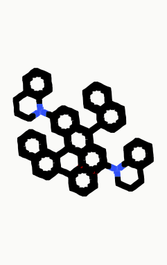 c1ccc(-c2ccc3ccccc3c2-c2c3ccc(N4CCCc5ccccc54)cc3c(-c3cccc4ccccc34)c3ccc(N4CCCc5ccccc54)cc23)cc1